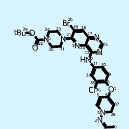 C/C=N\N1C=CC(Oc2ccc(Nc3ncnc4cc(Br)c(N5CCN(C(=O)OC(C)(C)C)CC5)nc34)cc2Cl)=CC1